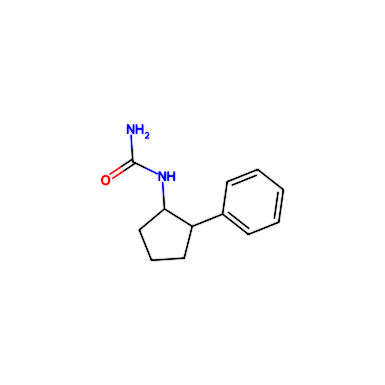 NC(=O)NC1CCCC1c1ccccc1